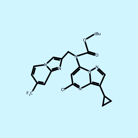 CC(C)(C)OC(=O)N(Cc1cn2ccc(C(F)(F)F)cc2n1)c1cc(Cl)nc2c(C3CC3)cnn12